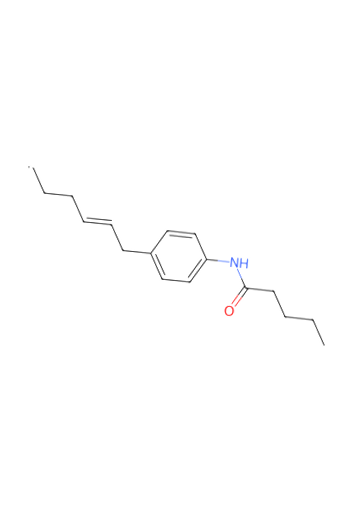 [CH2]CCC=CCc1ccc(NC(=O)CCCC)cc1